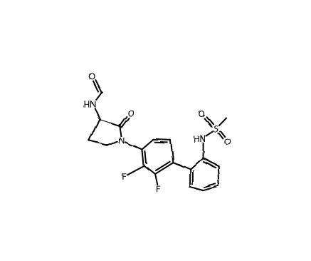 CS(=O)(=O)Nc1ccccc1-c1ccc(N2CCC(NC=O)C2=O)c(F)c1F